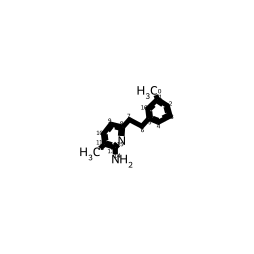 Cc1cccc(CCc2ccc(C)c(N)n2)c1